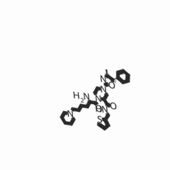 C[C@@H]1N=C(N2CCN(C(=O)C(N)CCCCN3CCCCC3)C(C(=O)NCc3cccs3)C2)O[C@H]1c1ccccc1